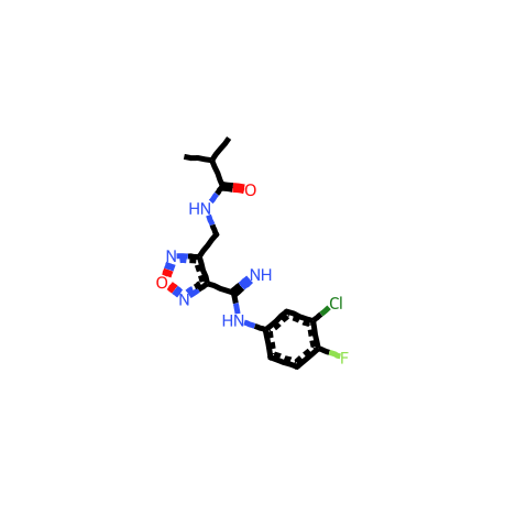 CC(C)C(=O)NCc1nonc1C(=N)Nc1ccc(F)c(Cl)c1